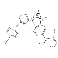 CC1(C)[C@H]2CC[C@]1(c1cccc(-c3ccc(N)nn3)n1)c1nnc(-c3c(F)cccc3F)cc12